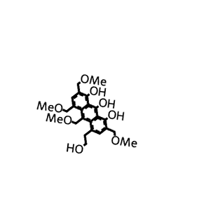 COCc1cc(CCO)c2c(COC)c3c(COC)cc(COC)c(O)c3c(O)c2c1O